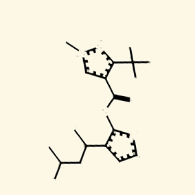 CC(C)CC(C)c1ccsc1NC(=O)c1cn(C)nc1C(F)(F)F